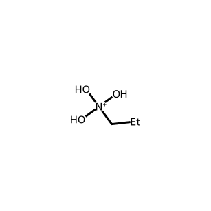 CCC[N+](O)(O)O